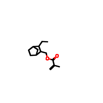 C=C(C)C(=O)OCC1C2CCC(C2)C1CC